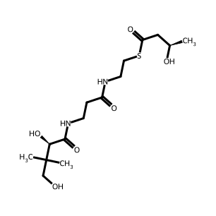 C[C@@H](O)CC(=O)SCCNC(=O)CCNC(=O)[C@H](O)C(C)(C)CO